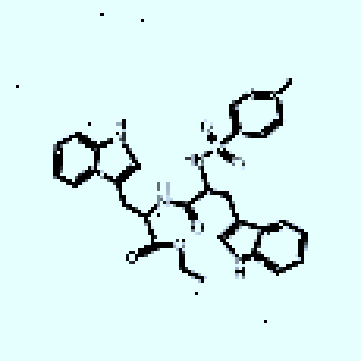 CCOC(=O)C(Cc1c[nH]c2ccccc12)NC(=O)C(Cc1c[nH]c2ccccc12)NS(=O)(=O)c1ccc(C)cc1